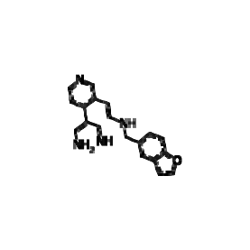 N=C/C(=C\N)c1ccncc1/C=C/NCc1ccc2occc2c1